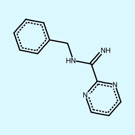 N=C(NCc1ccccc1)c1ncccn1